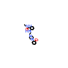 CCNC(=O)c1ccccc1NCCN1CCN(c2ccccc2OC)CC1